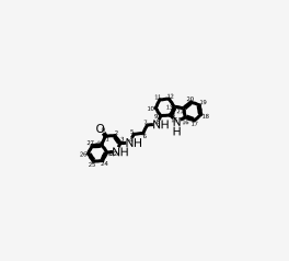 O=c1cc(NCCCNC2CCCc3c2[nH]c2ccccc32)[nH]c2ccccc12